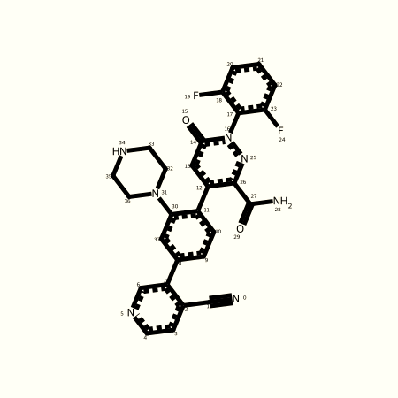 N#Cc1ccncc1-c1ccc(-c2cc(=O)n(-c3c(F)cccc3F)nc2C(N)=O)c(N2CCNCC2)c1